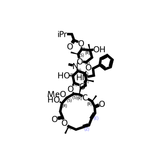 CO[C@@H]1[C@@H](O[C@@H]2O[C@H](C)[C@@H](O[C@H]3C[C@@](C)(O)[C@@H](OC(=O)CC(C)C)[C@H](C)O3)[C@H](N(C)C)[C@H]2O)[C@@H](CCNCCc2ccccc2)C[C@@H](C)C(=O)/C=C/C=C\C[C@@H](C)OC(=O)C[C@H]1O